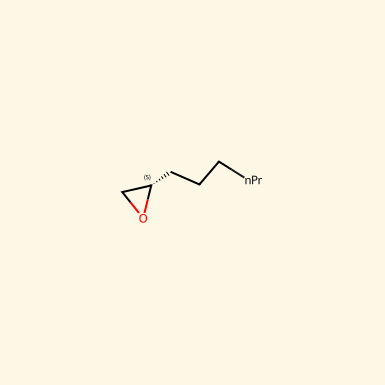 CCCCCC[C@H]1CO1